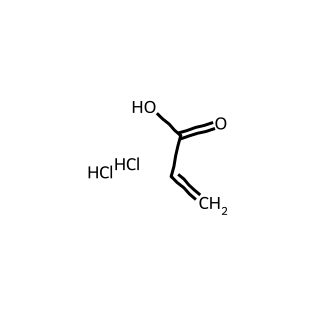 C=CC(=O)O.Cl.Cl